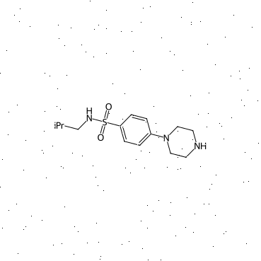 CC(C)CNS(=O)(=O)c1ccc(N2CCNCC2)cc1